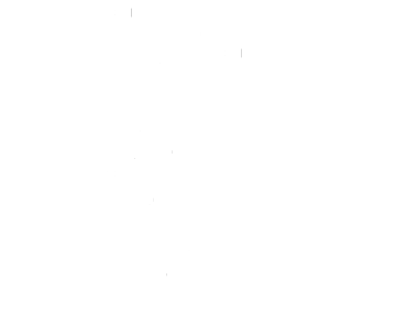 COc1cc(S(=O)(=O)OCC(=O)c2ccccc2)ccc1C